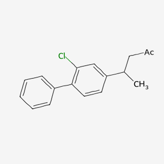 CC(=O)CC(C)c1ccc(-c2ccccc2)c(Cl)c1